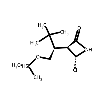 C[SiH](C)OC[C@H]([C@H]1C(=O)N[C@@H]1Cl)C(C)(C)C